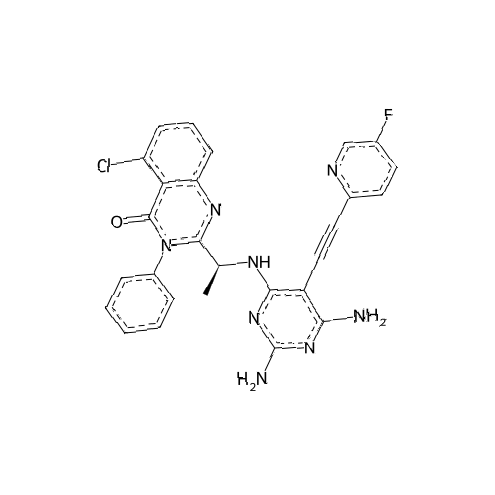 C[C@H](Nc1nc(N)nc(N)c1C#Cc1ccc(F)cn1)c1nc2cccc(Cl)c2c(=O)n1-c1ccccc1